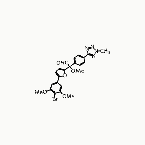 COc1cc(-c2ccc(C(C=O)(OC)c3ccc(-c4nnn(C)n4)cc3)o2)cc(OC)c1Br